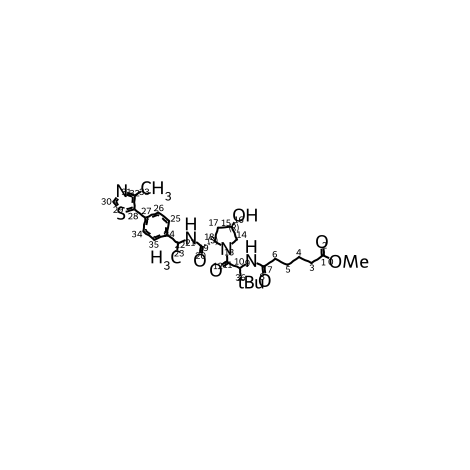 COC(=O)CCCCC(=O)NC(C(=O)N1C[C@H](O)C[C@H]1C(=O)NC(C)c1ccc(-c2scnc2C)cc1)C(C)(C)C